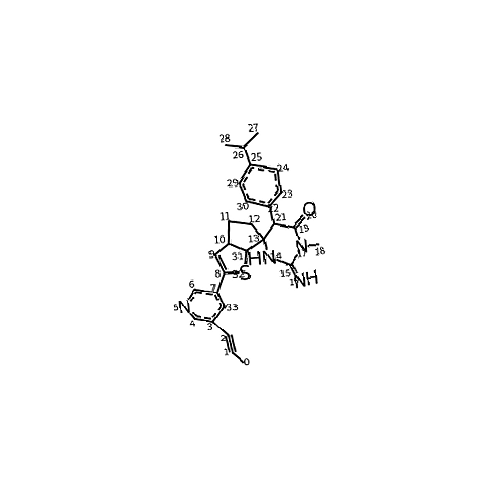 CC#Cc1cncc(C2=CC3CCC4(NC(=N)N(C)C(=O)C4c4ccc(C(C)C)cc4)C3S2)c1